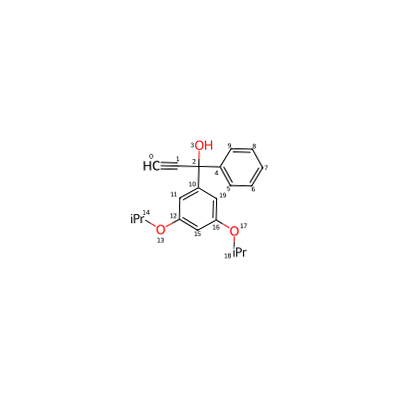 C#CC(O)(c1ccccc1)c1cc(OC(C)C)cc(OC(C)C)c1